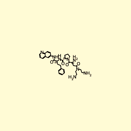 NCCN(CCN)C(=O)C[C@H](N)C(=O)N1CCC[C@H]1C(=O)N[C@@H](CCc1ccccc1)C(=O)Nc1ccc2ncccc2c1